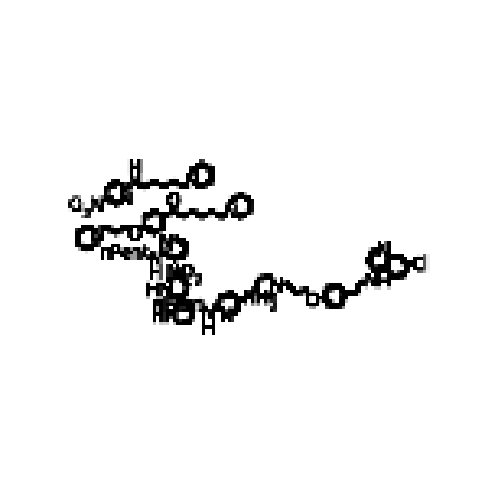 C1CCNCC1.C1CCNCC1.CCCCCNc1ccc(N)cn1.CCCCCNc1ncccc1[N+](=O)[O-].Clc1ccc2c(NCCc3ccc(OCCCN4CCCCC4)cc3)ccnc2c1.O=C(CCCCCN1CCCCC1)c1ccc(OCCCN2CCCCC2)cc1.O=[N+]([O-])c1ccc(NCCCCCN2CCCCC2)nc1